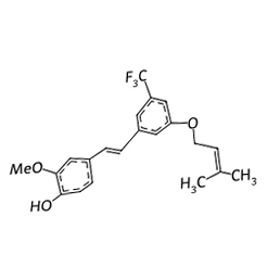 COc1cc(/C=C/c2cc(OCC=C(C)C)cc(C(F)(F)F)c2)ccc1O